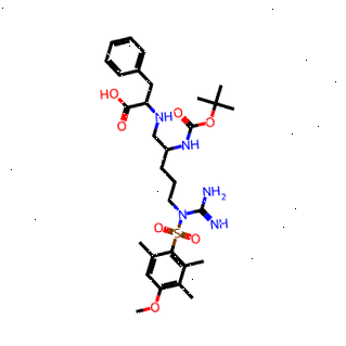 COc1cc(C)c(S(=O)(=O)N(CCCC(CNC(Cc2ccccc2)C(=O)O)NC(=O)OC(C)(C)C)C(=N)N)c(C)c1C